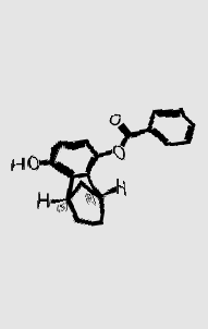 O=C(Oc1ccc(O)c2c1[C@@H]1CC[C@H]2C1)c1ccccc1